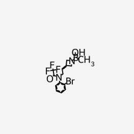 CB(O)N1CC(=CCN(C(=O)C(F)(F)F)c2ccccc2Br)C1